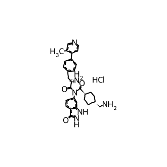 Cc1cnccc1-c1ccc(C[C@H](N)C(=O)N(c2ccc3c(=O)[nH][nH]c3c2)C(=O)[C@H]2CC[C@H](CN)CC2)cc1.Cl